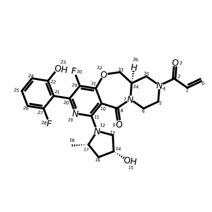 C=CC(=O)N1CCN2C(=O)c3c(N4C[C@H](O)C[C@@H]4C)nc(-c4c(O)cccc4F)c(F)c3OC[C@H]2C1